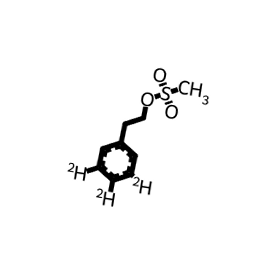 [2H]c1cc(CCOS(C)(=O)=O)cc([2H])c1[2H]